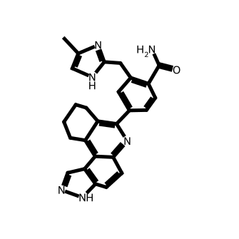 Cc1c[nH]c(Cc2cc(-c3nc4ccc5[nH]ncc5c4c4c3CCCC4)ccc2C(N)=O)n1